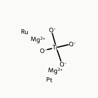 [Mg+2].[Mg+2].[O-][Ti]([O-])([O-])[O-].[Pt].[Ru]